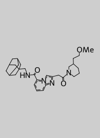 COCCC1CCCN(C(=O)Cc2cn3c(C(=O)NCC45CC6CC(CC(C6)C4)C5)cccc3n2)C1